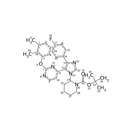 Cc1cccc(Oc2nccc(-c3c(-c4ccc(F)cc4)ncn3C3CCCCN3C(=O)OC(C)(C)C)n2)c1C